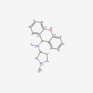 CCN1CCC(N(C)C2c3ccccc3Oc3ccccc32)C1